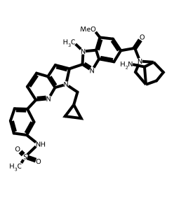 COc1cc(C(=O)N2CC3CCC2C3N)cc2nc(-c3cc4ccc(-c5cccc(NS(C)(=O)=O)c5)nc4n3CC3CC3)n(C)c12